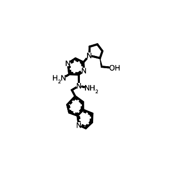 Nc1ncc(N2CCC[C@H]2CO)nc1N(N)Cc1ccc2ncccc2c1